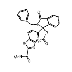 CNC(=O)c1nc2cc(C3(OC(=O)C(F)(F)F)c4ccccc4C(=O)N3Cc3ccccc3)ccc2[nH]1